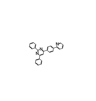 c1ccc(-c2cc(-c3ccc(-c4ccccn4)cc3)nc(-c3ccccc3)n2)cc1